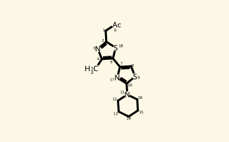 CC(=O)Cc1nc(C)c(-c2csc(N3CCCCC3)n2)s1